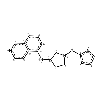 c1csc(CN2CC[C@@H](Nc3cccc4cnccc34)C2)c1